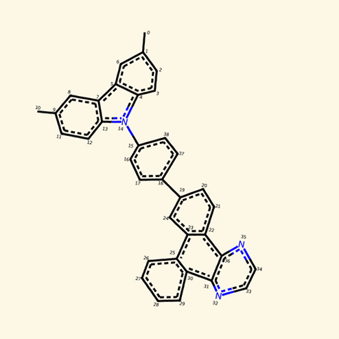 Cc1ccc2c(c1)c1cc(C)ccc1n2-c1ccc(-c2ccc3c(c2)c2ccccc2c2nccnc32)cc1